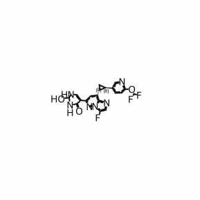 O=C1NC(O)NC=C1c1cc([C@@H]2C[C@H]2c2ccc(OC(F)F)nc2)c2ncc(F)n2n1